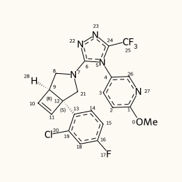 COc1ccc(-n2c(N3C[C@@H]4C=C[C@]4(c4ccc(F)cc4Cl)C3)nnc2C(F)(F)F)cn1